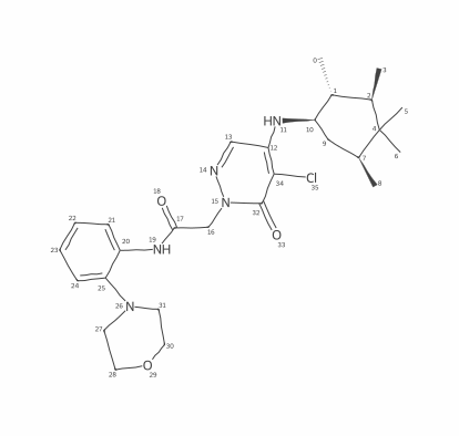 C[C@@H]1[C@@H](C)C(C)(C)[C@@H](C)C[C@H]1Nc1cnn(CC(=O)Nc2ccccc2N2CCOCC2)c(=O)c1Cl